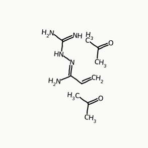 C=CC(N)=NNC(=N)N.CC(C)=O.CC(C)=O